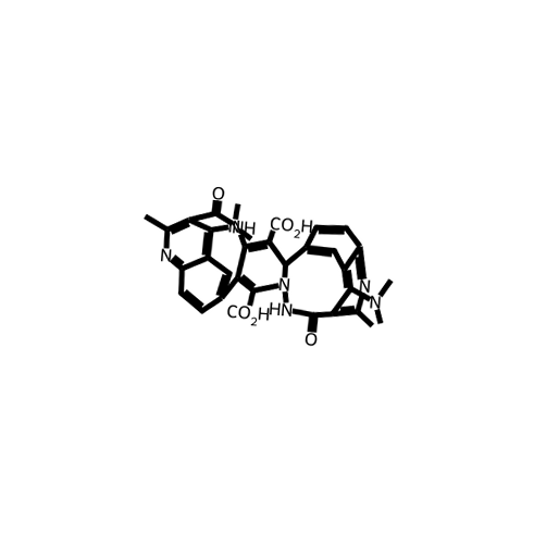 Cc1nc2ccc3cc2c(N(C)C)c1C(=O)NC1=C(C(=O)O)C2c4ccc5nc(C)c(c(N(C)C)c5c4)C(=O)NN2C(C(=O)O)=C13